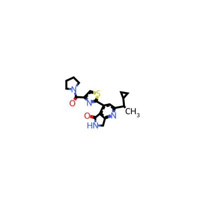 CC(c1cc(-c2nc(C(=O)N3CCCC3)cs2)c2c(n1)CNC2=O)C1CC1